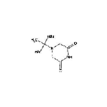 CCCCC(C)(CCC)N1CC(=O)NC(=O)C1